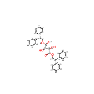 O=C(OCC(c1ccccc1)c1ccccc1)C(O)C(O)C(=O)OCC(c1ccccc1)c1ccccc1